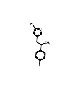 CC(C)c1cc(CC(C)c2ccc(F)cc2)co1